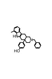 Cc1cccc2c3c([nH]c12)CC1(c2ccc(O)cc2)CCN(Cc2ccccc2)CC1C3